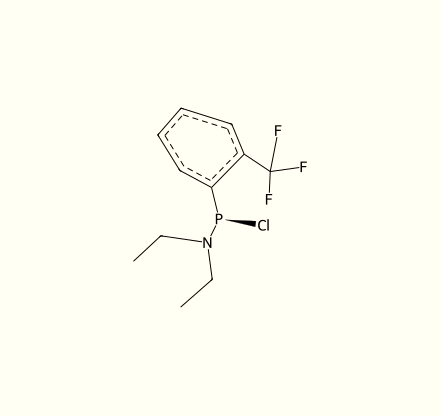 CCN(CC)[P@](Cl)c1ccccc1C(F)(F)F